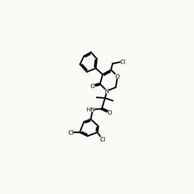 CC(C)(C(=O)Nc1cc(Cl)cc(Cl)c1)N1COC(CCl)=C(c2ccccc2)C1=O